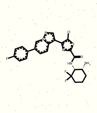 N[C@@H]1CCCC(F)(F)[C@@H]1NC(=O)c1nc(-c2cnn3cc(-c4ccc(F)cc4)ccc23)c(Cl)s1